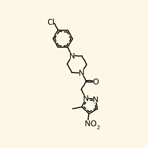 Cc1c([N+](=O)[O-])cnn1CC(=O)N1CCN(c2ccc(Cl)cc2)CC1